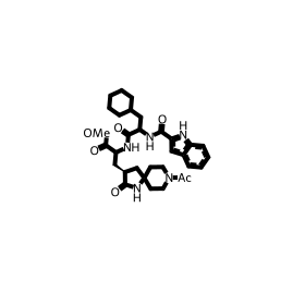 COC(=O)C(C[C@H]1CC2(CCN(C(C)=O)CC2)NC1=O)NC(=O)C(CC1CCCCC1)NC(=O)c1cc2ccccc2[nH]1